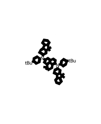 CC(C)(C)c1ccc(N(c2ccc3c(c2)C(C)(C)c2ccccc2-3)c2cc3c4c(c(N(c5ccc(C(C)(C)C)cc5)c5ccc6c(c5)C(C)(C)c5ccccc5-6)ccc4c2)CCC3(C)C)cc1